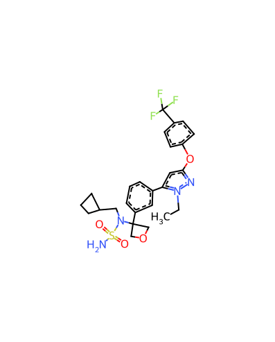 CCn1nc(Oc2ccc(C(F)(F)F)cc2)cc1-c1cccc(C2(N(CC3CCC3)S(N)(=O)=O)COC2)c1